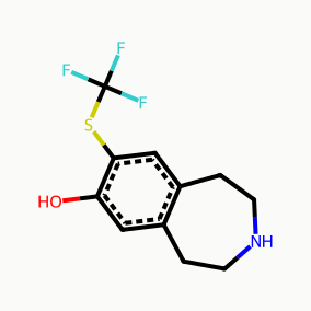 Oc1cc2c(cc1SC(F)(F)F)CCNCC2